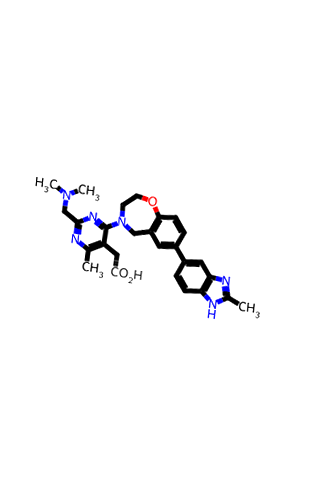 Cc1nc2cc(-c3ccc4c(c3)CN(c3nc(CN(C)C)nc(C)c3CC(=O)O)CCO4)ccc2[nH]1